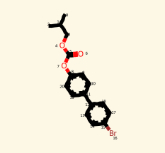 CC(C)COC(=O)Oc1ccc(-c2ccc(Br)cc2)cc1